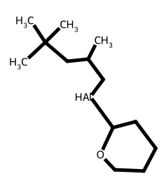 CC([CH2][AlH][CH]1CCCCO1)CC(C)(C)C